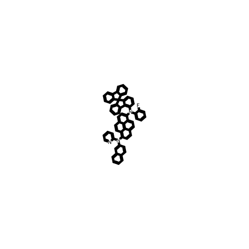 Fc1ccccc1N(c1cccc2c1-c1ccccc1C21c2ccccc2-c2ccccc21)c1ccc2ccc3c(N(c4ccc5ccccc5c4)c4ccccn4)ccc4ccc1c2c43